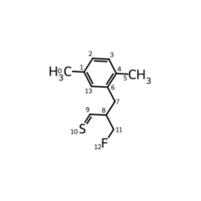 Cc1ccc(C)c(CC(C=S)CF)c1